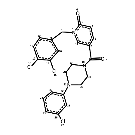 O=C(c1ccc(=O)n(Cc2ccc(Cl)c(Cl)c2)c1)N1CCN(c2cccc(Cl)c2)CC1